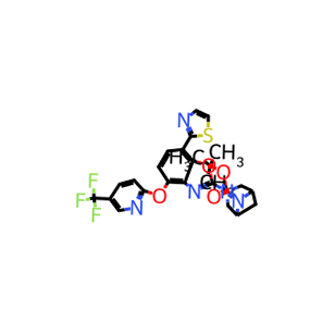 CC(C)(C)OC(=O)N1C2CC1CN(c1nc3c(Oc4ccc(C(F)(F)F)cn4)ccc(-c4nccs4)c3o1)C2